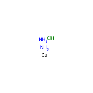 Cl.N.N.[Cu]